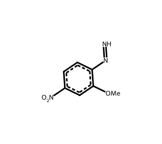 COc1cc([N+](=O)[O-])ccc1N=N